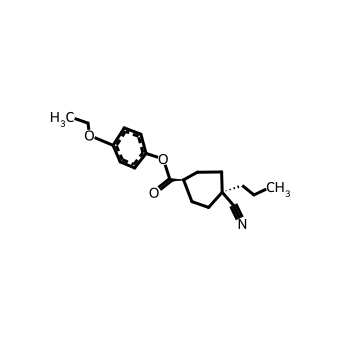 CCC[C@]1(C#N)CC[C@@H](C(=O)Oc2ccc(OCC)cc2)CC1